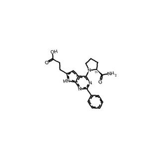 NC(=O)[C@@H]1CCCN1c1nc(-c2ccccc2)nc2[nH]c(CCC(=O)O)cc12